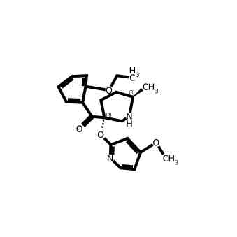 CCOc1ccccc1C(=O)[C@@]1(Oc2cc(OC)ccn2)CC[C@@H](C)NC1